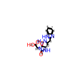 NC(Cc1nc2ccccc2[nH]1)C[C@@H]1NC(=O)N(CC(=O)O)C1=O